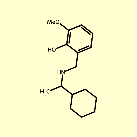 COc1cccc(CNC(C)C2CCCCC2)c1O